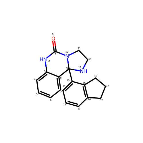 O=C1Nc2ccccc2C2(c3cccc4c3CCC4)NCCN12